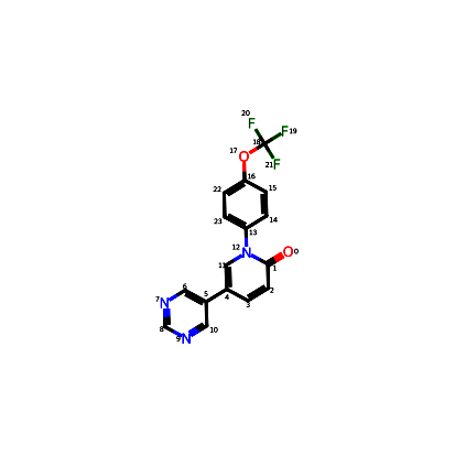 O=c1ccc(-c2cncnc2)cn1-c1ccc(OC(F)(F)F)cc1